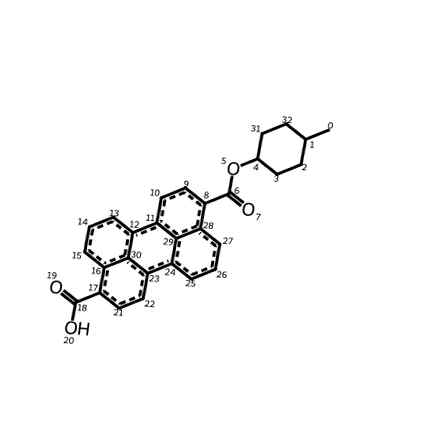 CC1CCC(OC(=O)c2ccc3c4cccc5c(C(=O)O)ccc(c6cccc2c63)c54)CC1